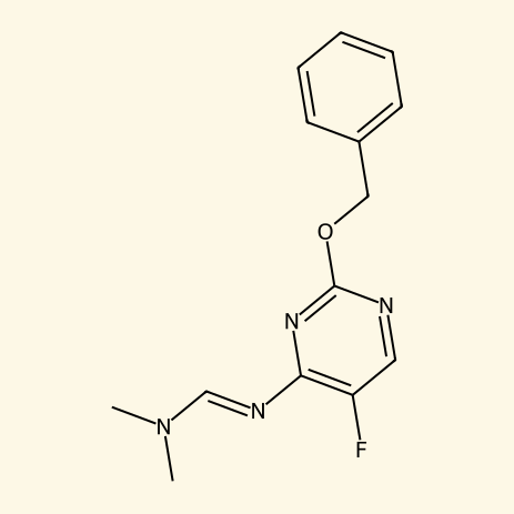 CN(C)/C=N/c1nc(OCc2ccccc2)ncc1F